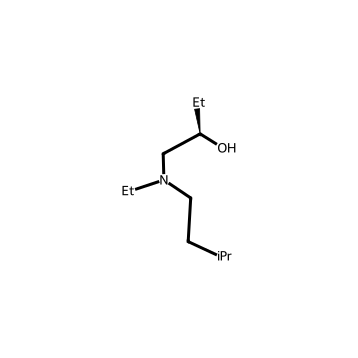 CC[C@@H](O)CN(CC)CCC(C)C